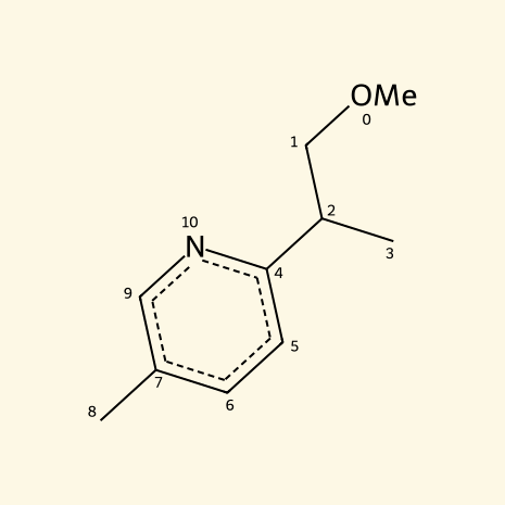 COCC(C)c1ccc(C)cn1